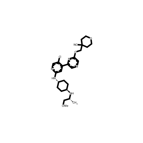 COC[C@@H](C)N[C@H]1CC[C@H](Nc2cc(-c3cncc(OCC4(C#N)CCOCC4)n3)c(Cl)cn2)CC1